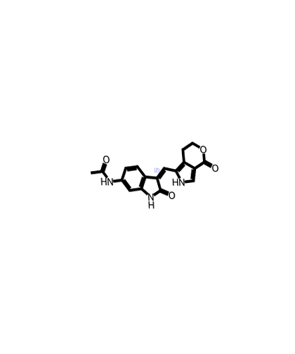 CC(=O)Nc1ccc2c(c1)NC(=O)/C2=C\c1[nH]cc2c1CCOC2=O